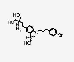 Cl.NC(CO)(CO)CCc1ccc(OCCCc2ccc(Br)cc2)c(C(F)(F)F)c1